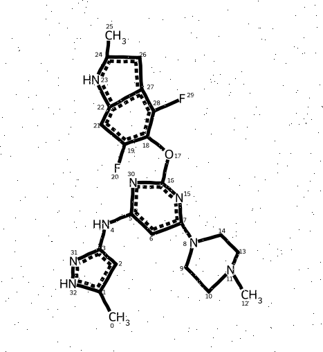 Cc1cc(Nc2cc(N3CCN(C)CC3)nc(Oc3c(F)cc4[nH]c(C)cc4c3F)n2)n[nH]1